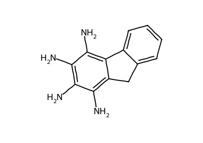 Nc1c(N)c(N)c2c(c1N)Cc1ccccc1-2